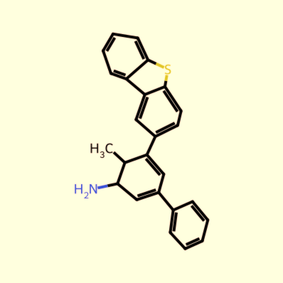 CC1C(c2ccc3sc4ccccc4c3c2)=CC(c2ccccc2)=CC1N